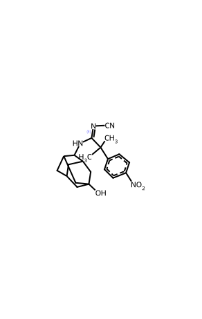 CC(C)(/C(=N\C#N)NC1C2CC3CC1CC(O)(C3)C2)c1ccc([N+](=O)[O-])cc1